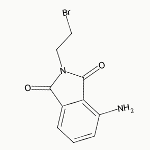 Nc1cccc2c1C(=O)N(CCBr)C2=O